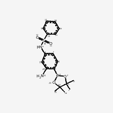 CC1(C)OB(c2ccc(NS(=O)(=O)c3ccccc3)cc2N)OC1(C)C